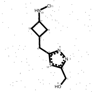 OCc1nnc(CC2CC(NCl)C2)s1